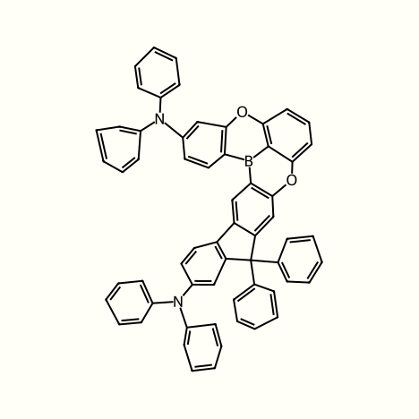 c1ccc(N(c2ccccc2)c2ccc3c(c2)Oc2cccc4c2B3c2cc3c(cc2O4)C(c2ccccc2)(c2ccccc2)c2cc(N(c4ccccc4)c4ccccc4)ccc2-3)cc1